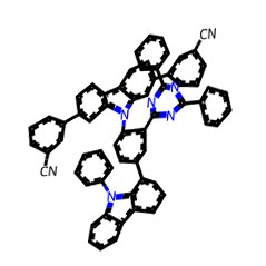 N#Cc1cccc(-c2ccc3c4ccc(-c5cccc(C#N)c5)cc4n(-c4ccc(-c5cccc6c7ccccc7n(-c7ccccc7)c56)cc4-c4nc(-c5ccccc5)nc(-c5ccccc5)n4)c3c2)c1